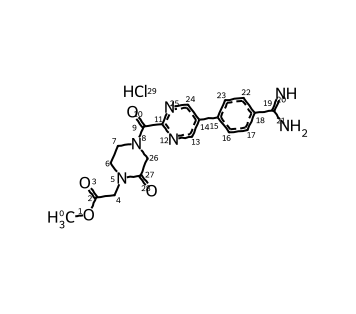 COC(=O)CN1CCN(C(=O)c2ncc(-c3ccc(C(=N)N)cc3)cn2)CC1=O.Cl